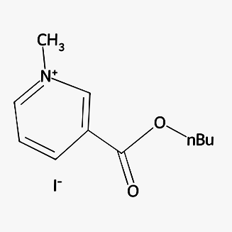 CCCCOC(=O)c1ccc[n+](C)c1.[I-]